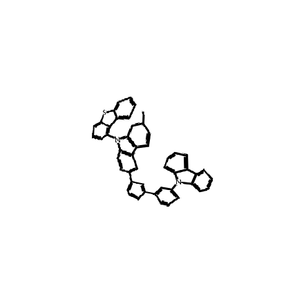 CC1C=Cc2c(n(-c3cccc4sc5ccccc5c34)c3ccc(-c4cccc(-c5cccc(-n6c7ccccc7c7ccccc76)c5)c4)cc23)C1